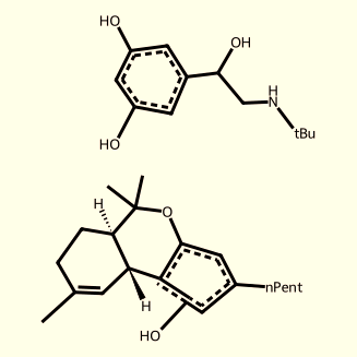 CC(C)(C)NCC(O)c1cc(O)cc(O)c1.CCCCCc1cc(O)c2c(c1)OC(C)(C)[C@@H]1CCC(C)=C[C@@H]21